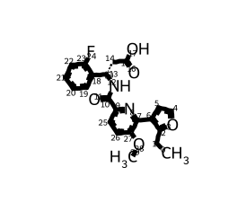 CCc1occc1-c1nc(C(=O)N[C@@H](CC(=O)O)c2ccccc2F)ccc1OC